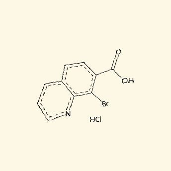 Cl.O=C(O)c1ccc2cccnc2c1Br